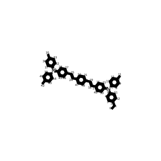 CCc1ccc(N(c2ccc(C)cc2)c2ccc(/C=C/c3ccc(/C=C/c4ccc(N(c5ccc(C)cc5)c5ccc(C)cc5)cc4)cc3)cc2)cc1